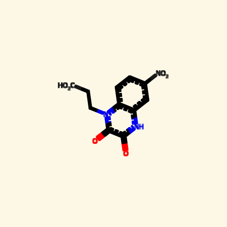 O=C(O)CCn1c(=O)c(=O)[nH]c2cc([N+](=O)[O-])ccc21